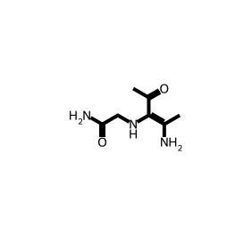 CC(=O)/C(NCC(N)=O)=C(\C)N